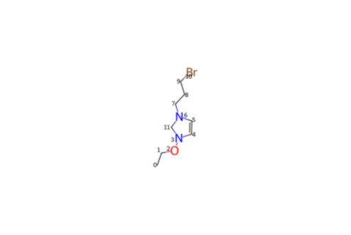 CCON1C=CN(CCCBr)C1